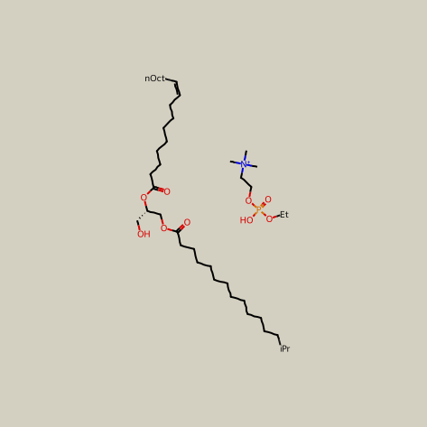 CCCCCCCC/C=C\CCCCCCCC(=O)O[C@@H](CO)COC(=O)CCCCCCCCCCCCC(C)C.CCOP(=O)(O)OCC[N+](C)(C)C